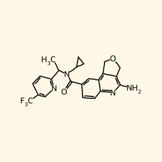 CC(c1ccc(C(F)(F)F)cn1)N(C(=O)c1ccc2nc(N)c3c(c2c1)COC3)C1CC1